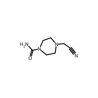 N#CCN1CCN(C(N)=O)CC1